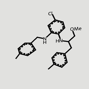 COCC(Cc1ccc(C)cc1)Nc1ccc(Cl)cc1NCc1ccc(C)cc1